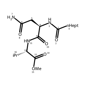 CCCCCCCC(=O)N[C@H](CC(N)=O)C(=O)N[C@H](C(=O)OC)C(C)C